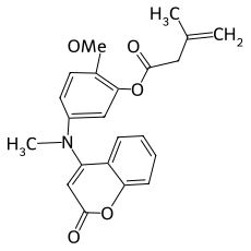 C=C(C)CC(=O)Oc1cc(N(C)c2cc(=O)oc3ccccc23)ccc1OC